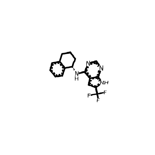 FC(F)(F)c1cc2c(N[C@H]3CCCc4ccccc43)ncnc2[nH]1